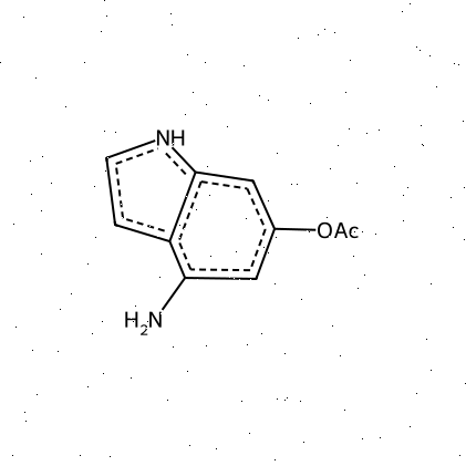 CC(=O)Oc1cc(N)c2cc[nH]c2c1